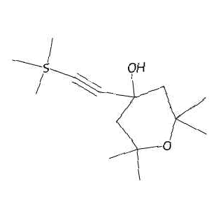 CC1(C)CC(O)(C#CS(C)(C)C)CC(C)(C)O1